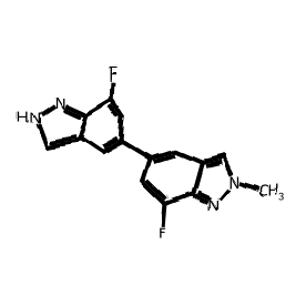 Cn1cc2cc(-c3cc(F)c4n[nH]cc4c3)cc(F)c2n1